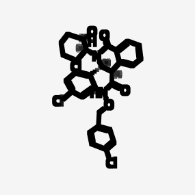 O=C(NOCc1ccc(Cl)cc1)[C@@H]1c2ccccc2C(=O)N([C@H]2CCCC[C@@H]2O)[C@H]1c1ccc(Cl)cc1Cl